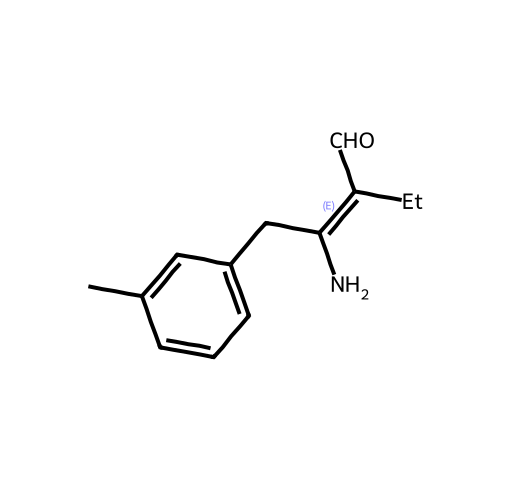 CC/C(C=O)=C(\N)Cc1cccc(C)c1